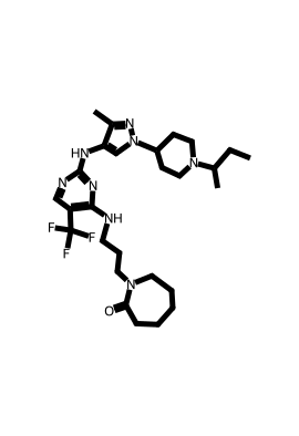 CCC(C)N1CCC(n2cc(Nc3ncc(C(F)(F)F)c(NCCCN4CCCCCC4=O)n3)c(C)n2)CC1